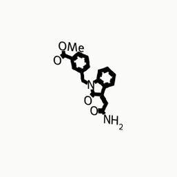 COC(=O)c1cccc(CN2C(=O)C(=CC(N)=O)c3ccccc32)c1